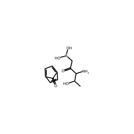 CC(O)C(N)C(=O)CB(O)O.O=C1C2=CC=C1C=C2